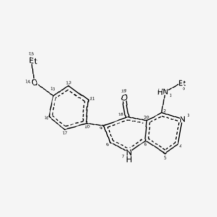 CCNc1nccc2[nH]cc(-c3ccc(OCC)cc3)c(=O)c12